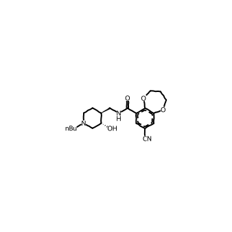 CCCCN1CC[C@@H](CNC(=O)c2cc(C#N)cc3c2OCCCO3)[C@H](O)C1